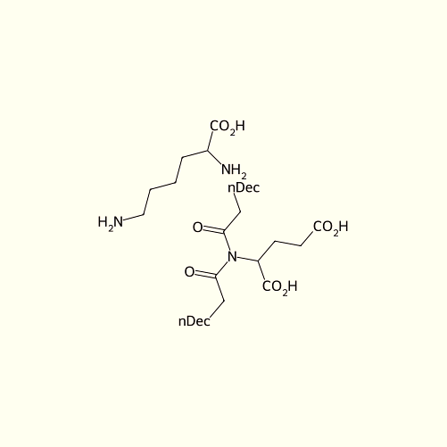 CCCCCCCCCCCC(=O)N(C(=O)CCCCCCCCCCC)C(CCC(=O)O)C(=O)O.NCCCCC(N)C(=O)O